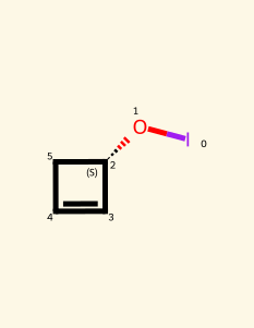 IO[C@@H]1C=CC1